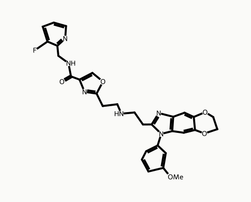 COc1cccc(-n2c(CCNCCc3nc(C(=O)NCc4ncccc4F)co3)nc3cc4c(cc32)OCCO4)c1